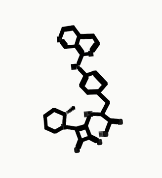 C[C@H]1CCCCN1c1c(NC(Cc2ccc(Nc3nccc4ccncc34)cc2)C(=O)O)c(=O)c1=O